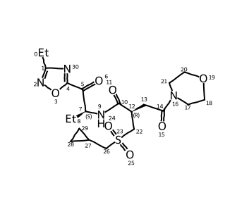 CCc1noc(C(=O)[C@H](CC)NC(=O)[C@@H](CC(=O)N2CCOCC2)CS(=O)(=O)CC2CC2)n1